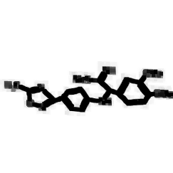 COc1ccc(C(Nc2ccc(-c3noc(C)n3)cc2)C(=N)SC)cc1OC